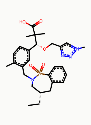 CC[C@H]1Cc2ccccc2S(=O)(=O)N(Cc2cc([C@@H](OCc3cn(C)nn3)C(C)(C)C(=O)O)ccc2C)C1